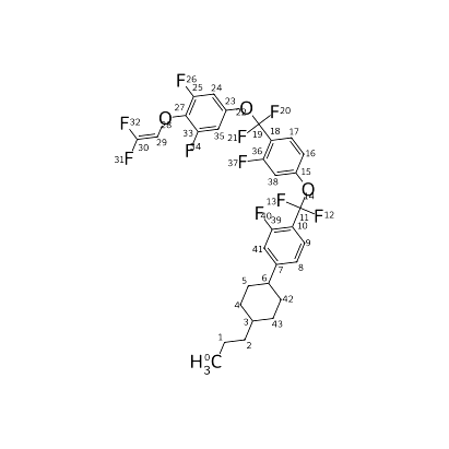 CCCC1CCC(c2ccc(C(F)(F)Oc3ccc(C(F)(F)Oc4cc(F)c(OC=C(F)F)c(F)c4)c(F)c3)c(F)c2)CC1